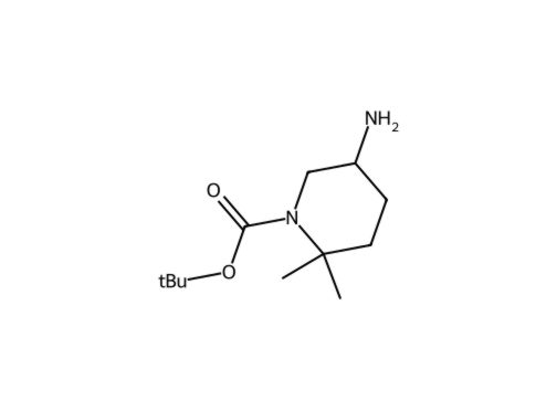 CC(C)(C)OC(=O)N1CC(N)CCC1(C)C